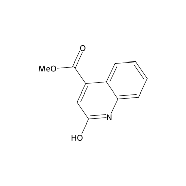 COC(=O)c1cc(O)nc2ccccc12